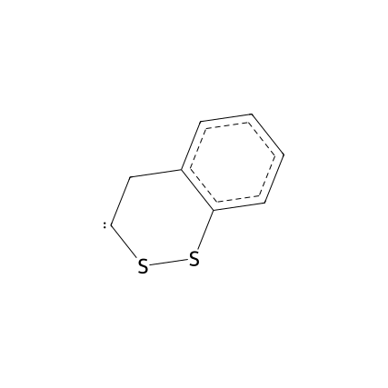 [C]1Cc2ccccc2SS1